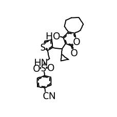 N#Cc1ccc(S(=O)(=O)NCc2sccc2C(c2c(O)c3c(oc2=O)CCCCCC3)C2CC2)cc1